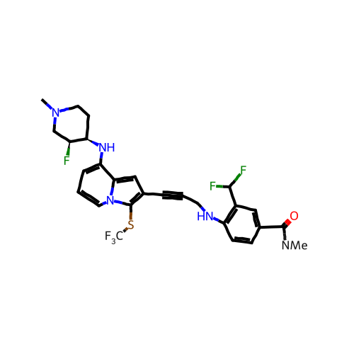 CNC(=O)c1ccc(NCC#Cc2cc3c(N[C@@H]4CCN(C)C[C@@H]4F)cccn3c2SC(F)(F)F)c(C(F)F)c1